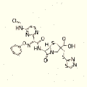 O=CNc1ccnc(C(=NOc2ccccc2)C(=O)NC2C(=O)N3CC(CSc4nncs4)(C(=O)O)CS[C@H]23)n1